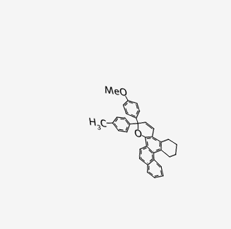 COc1ccc(C2(c3ccc(C)cc3)C=Cc3c4c(c5c(ccc6ccccc65)c3O2)CCCC4)cc1